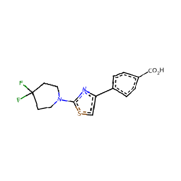 O=C(O)c1ccc(-c2csc(N3CCC(F)(F)CC3)n2)cc1